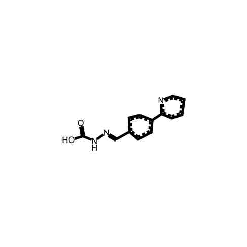 O=C(O)NN=Cc1ccc(-c2ccccn2)cc1